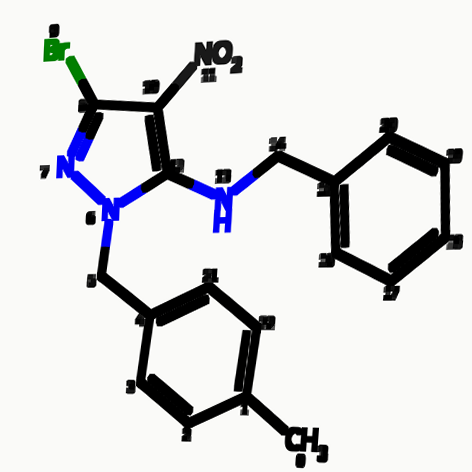 Cc1ccc(Cn2nc(Br)c([N+](=O)[O-])c2NCc2ccccc2)cc1